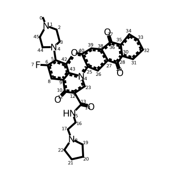 CN1CCN(c2c(F)cc3c(=O)c(C(=O)NCCN4CCCC4)cn4c5cc6c(=O)c7ccccc7c(=O)c6cc5oc2c34)CC1